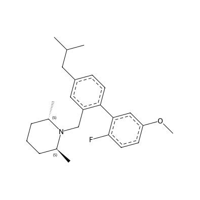 COc1ccc(F)c(-c2ccc(CC(C)C)cc2CN2[C@@H](C)CCC[C@@H]2C)c1